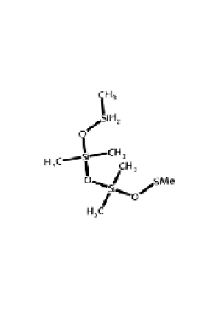 C[SiH2]O[Si](C)(C)O[Si](C)(C)OSC